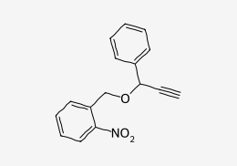 C#CC(OCc1ccccc1[N+](=O)[O-])c1ccccc1